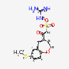 CSc1ccc2c(c1)C=C(C(=O)CS(=O)(=O)ONC(=N)N)CCO2